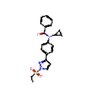 CCS(=O)(=O)n1ccc(-c2ccc(N(C(=O)c3ccccc3)C3CC3)cc2)n1